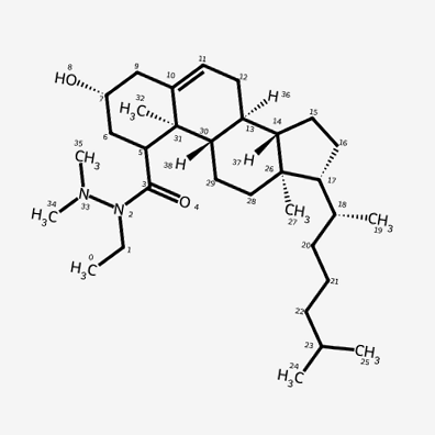 CCN(C(=O)C1C[C@H](O)CC2=CC[C@H]3[C@@H]4CC[C@H]([C@H](C)CCCC(C)C)[C@@]4(C)CC[C@@H]3[C@]21C)N(C)C